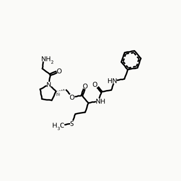 CSCCC(NC(=O)CNCc1ccccc1)C(=O)OC[C@@H]1CCCN1C(=O)CN